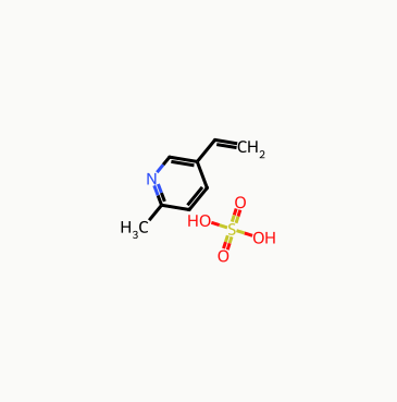 C=Cc1ccc(C)nc1.O=S(=O)(O)O